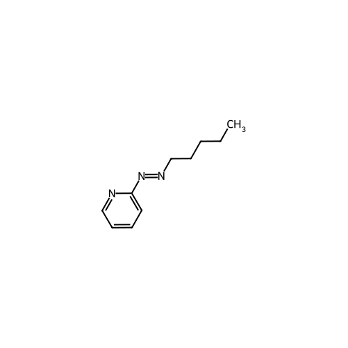 CCCCCN=Nc1ccccn1